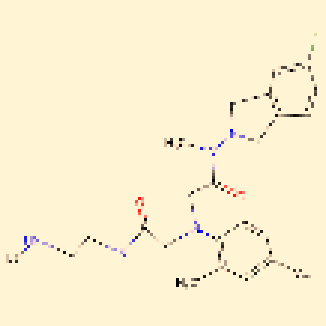 CCNCCNC(=O)CN(CC(=O)N(C)N1Cc2ccc(F)cc2C1)c1ccc(C(C)=O)cc1C